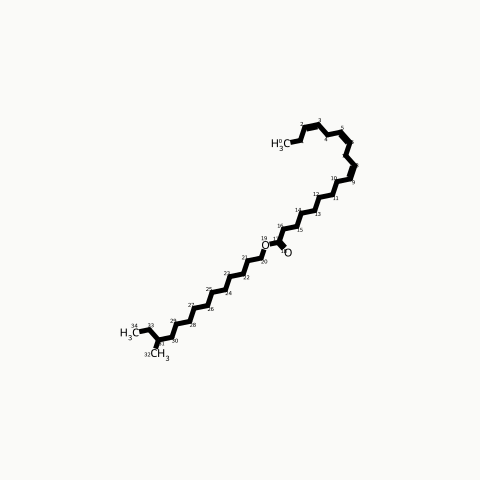 CC/C=C\C/C=C\C/C=C\CCCCCCCC(=O)OCCCCCCCCCCCC(C)CC